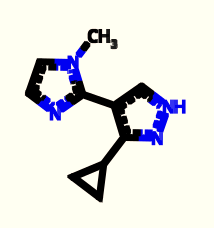 Cn1ccnc1-c1c[nH]nc1C1CC1